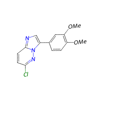 COc1ccc(-c2cnc3ccc(Cl)nn23)cc1OC